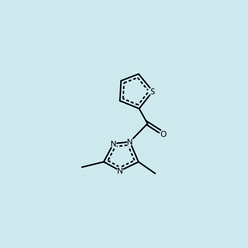 Cc1nc(C)n(C(=O)c2cccs2)n1